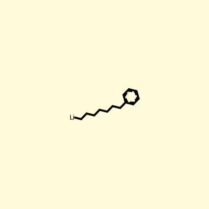 [Li][CH2]CCCCCCc1ccccc1